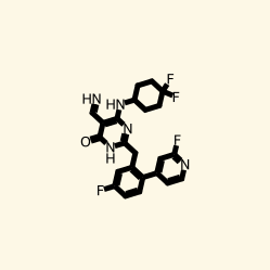 N=Cc1c(NC2CCC(F)(F)CC2)nc(Cc2cc(F)ccc2-c2ccnc(F)c2)[nH]c1=O